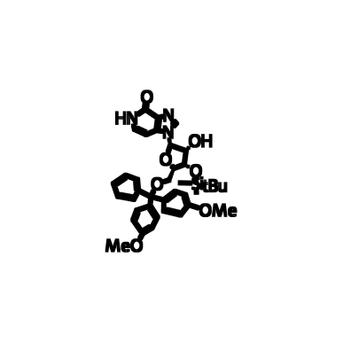 COc1ccc(C(OC[C@H]2O[C@@H](n3cnc4c(=O)[nH]ccc43)[C@H](O)[C@@H]2O[Si](C)(C)C(C)(C)C)(c2ccccc2)c2ccc(OC)cc2)cc1